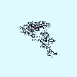 CC[C@H](C)[C@H](NC(=O)CNC(=O)[C@@H](NC(=O)[C@H](Cc1c[nH]c2ccccc12)NC(=O)[C@H](CCC(=O)O)NC(=O)[C@H](CC(C)C)NC(=O)CNC(=O)[C@H](CCCCN)NC(=O)CN)[C@@H](C)CC)C(=O)N[C@H](C(=O)N[C@@H](CO)C(=O)N[C@@H](CO)C(=O)N[C@@H](CO)C(=O)NCC(=O)N[C@@H](CC(N)=O)C(=O)N[C@H](C(=O)N[C@@H](Cc1ccc(O)cc1)C(=O)N[C@@H](Cc1ccc(O)cc1)C(=O)N[C@@H](C)C(=O)N[C@@H](CO)C(=O)O)[C@@H](C)O)[C@@H](C)CC